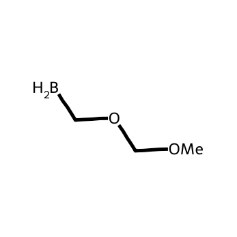 BCOCOC